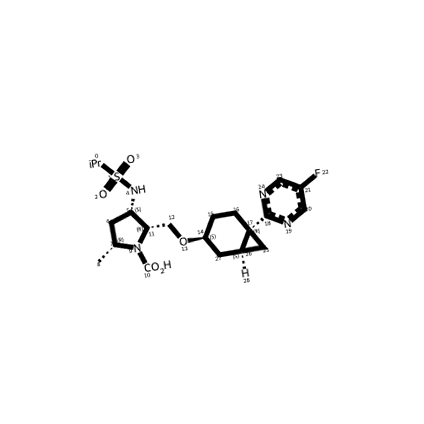 CC(C)S(=O)(=O)N[C@H]1C[C@@H](C)N(C(=O)O)[C@H]1CO[C@H]1CC[C@@]2(c3ncc(F)cn3)C[C@H]2C1